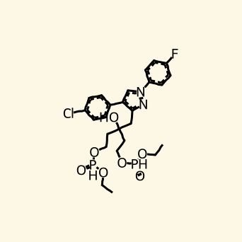 CCO[PH](=O)OCCC(O)(CCO[PH](=O)OCC)Cc1nn(-c2ccc(F)cc2)cc1-c1ccc(Cl)cc1